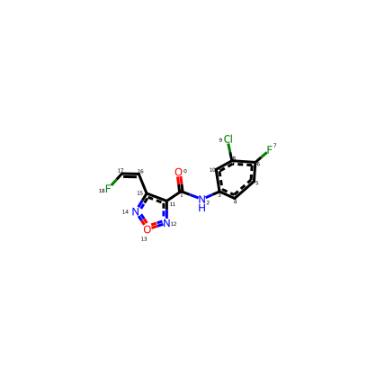 O=C(Nc1ccc(F)c(Cl)c1)c1nonc1/C=C\F